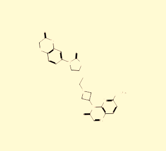 COc1ccc2ncc(=O)n(C3CN(CC[C@@H]4CN(c5ccc6c(c5)NC(=O)CS6)C(=O)O4)C3)c2n1